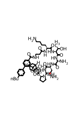 CCCCc1ccc(-c2ccc(C(=O)NCCC(=O)N[C@@H](CCCCN)C(=O)N[C@H](C(=O)N[C@@H](N)C(=O)N[C@@H](CC(N)=O)C(=O)N[C@@H](C)N3CCC[C@H]3B3OC4C[C@@H]5C[C@@H](C5(C)C)[C@]4(C)O3)[C@@H](C)O)cc2)cc1